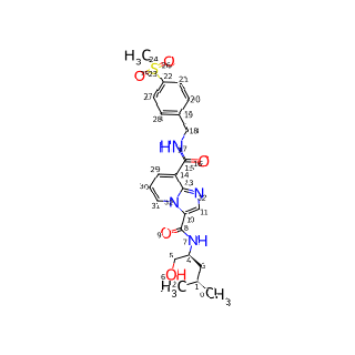 CC(C)C[C@@H](CO)NC(=O)c1cnc2c(C(=O)NCc3ccc(S(C)(=O)=O)cc3)cccn12